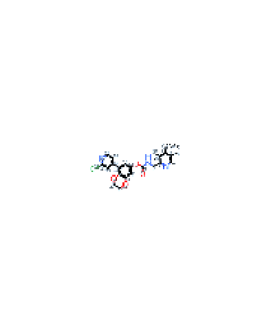 COc1c(C)cnc(CNC(=O)Oc2cc3c(c(-c4ccnc(Cl)c4)c2)OCCO3)c1C